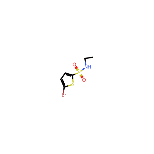 CCNS(=O)(=O)c1ccc(Br)s1